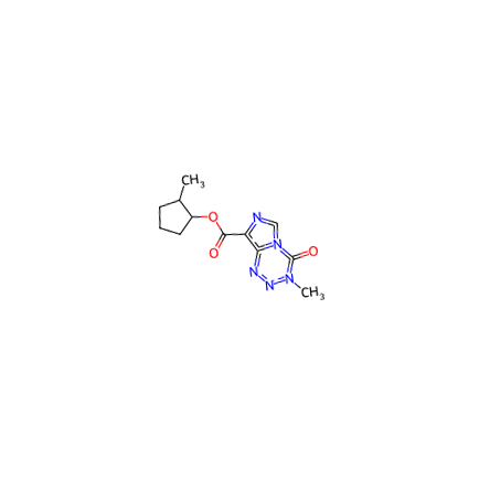 CC1CCCC1OC(=O)c1ncn2c(=O)n(C)nnc12